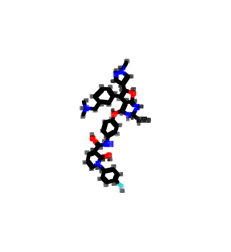 CNc1nc(Oc2ccc(NC(=O)c3cccn(-c4ccc(F)cc4)c3=O)cc2)c2c(-c3cccc(CN(C)C)c3)c(-c3cnn(C)c3)oc2n1